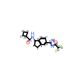 O=C(NC1CCc2cc(-c3noc(C(F)F)n3)ccc21)C1CCC1